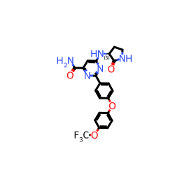 NC(=O)c1cc(N[C@H]2CCNC2=O)nc(-c2ccc(Oc3ccc(OC(F)(F)F)cc3)cc2)n1